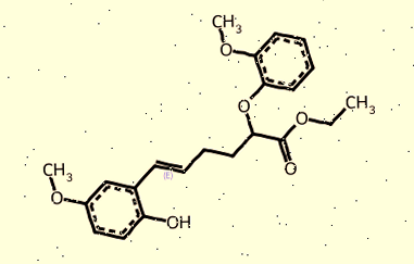 CCOC(=O)C(CC/C=C/c1cc(OC)ccc1O)Oc1ccccc1OC